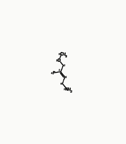 COC/C(F)=C/CN